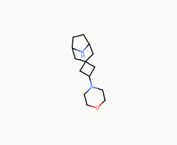 C1CN(C2CC3(CC4CCC(C3)N4)C2)CCO1